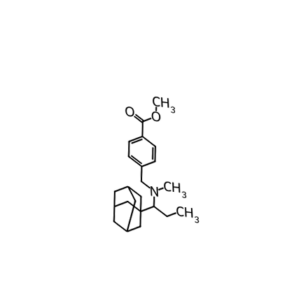 CCC(N(C)Cc1ccc(C(=O)OC)cc1)C12CC3CC(CC(C3)C1)C2